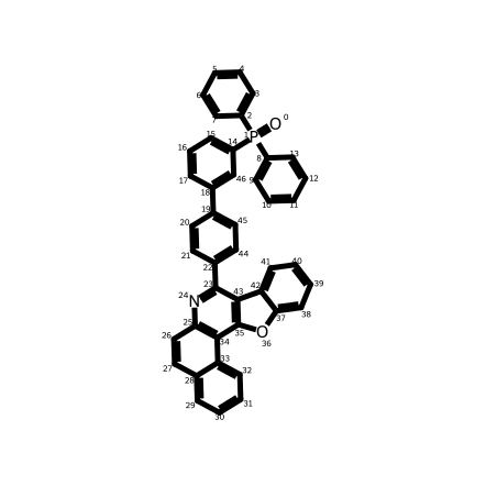 O=P(c1ccccc1)(c1ccccc1)c1cccc(-c2ccc(-c3nc4ccc5ccccc5c4c4oc5ccccc5c34)cc2)c1